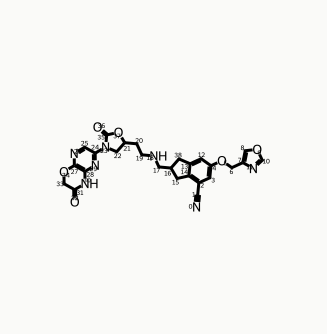 N#Cc1cc(OCc2cocn2)cc2c1CC(CNCCC1CN(c3cnc4c(n3)NC(=O)CO4)C(=O)O1)C2